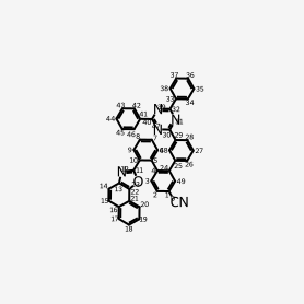 N#Cc1ccc(-c2ccccc2-c2nc3ccc4ccccc4c3o2)c(-c2cccc(-c3nc(-c4ccccc4)nc(-c4ccccc4)n3)c2)c1